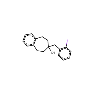 N#CC1(Cc2ccccc2I)CCc2ccccc2CC1